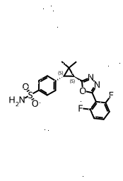 CC1(C)[C@@H](c2ccc(S(N)(=O)=O)cc2)[C@@H]1c1nnc(-c2c(F)cccc2F)o1